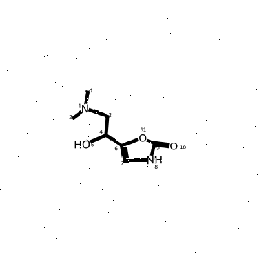 CN(C)CC(O)c1c[nH]c(=O)o1